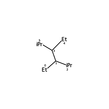 CCC(C(C)C)C(CC)C(C)C